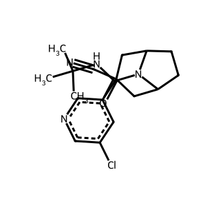 CC(C)(C)NC(=O)N1C2CCC1CC(C#N)(c1cncc(Cl)c1)C2